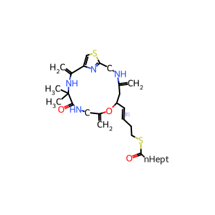 C=C1CC(/C=C/CCSC(=O)CCCCCCC)OC(=C)CNC(=O)C(C)(C)NC(=C)c2csc(n2)CN1